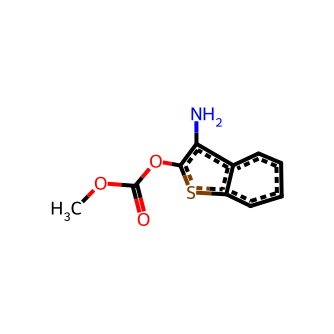 COC(=O)Oc1sc2ccccc2c1N